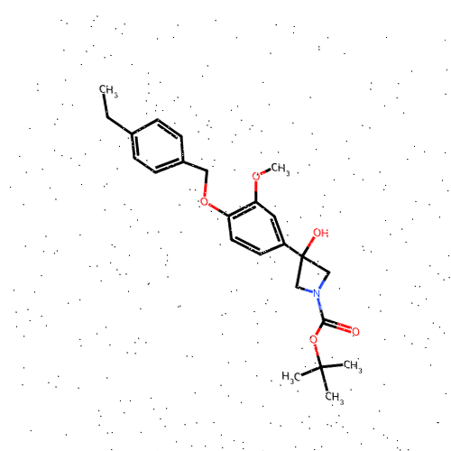 CCc1ccc(COc2ccc(C3(O)CN(C(=O)OC(C)(C)C)C3)cc2OC)cc1